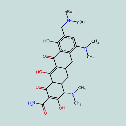 CCCCN(CCCC)Cc1cc(N(C)C)c2c(c1O)C(=O)C1=C(O)C3C(=O)C(C(N)=O)=C(O)[C@@H](N(C)C)C3CC1C2